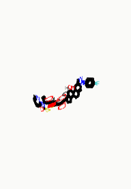 CC12Cc3cnn(-c4ccc(F)cc4)c3C=C1CCC1C2C(O)CC2(C)C1CC[C@]2(OC(=O)c1ccco1)C(=O)CSc1nc2ncccc2o1